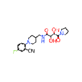 N#Cc1cc(F)ccc1N1CCC(CNC(=O)C(O)[C@@H](O)C(=O)N2CCCC2)CC1